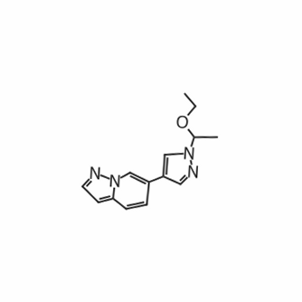 CCOC(C)n1cc(-c2ccc3ccnn3c2)cn1